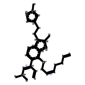 C=CCC/C=C\COc1c(/C(C=C)=C/N(C)C)ccc2c1nc(C)n2CCc1cnn(C)c1